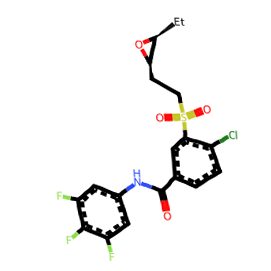 CC[C@@H]1O[C@@H]1CCS(=O)(=O)c1cc(C(=O)Nc2cc(F)c(F)c(F)c2)ccc1Cl